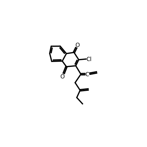 C=C=C(CC(=C)CC)C1=C(Cl)C(=O)c2ccccc2C1=O